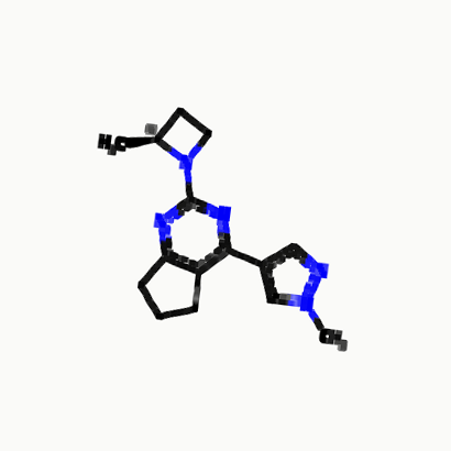 C[C@H]1CCN1c1nc2c(c(-c3cnn(C)c3)n1)CCC2